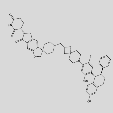 COc1cc(N2CCC3(CC2)CC(CN2CCC4(CC2)COc2cc5c(cc24)CN([C@H]2CCC(=O)NC2=O)C5=O)C3)c(F)cc1[C@@H]1c2ccc(O)cc2CC[C@@H]1c1ccccc1